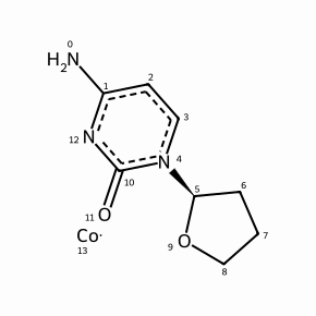 Nc1ccn([C@H]2CCCO2)c(=O)n1.[Co]